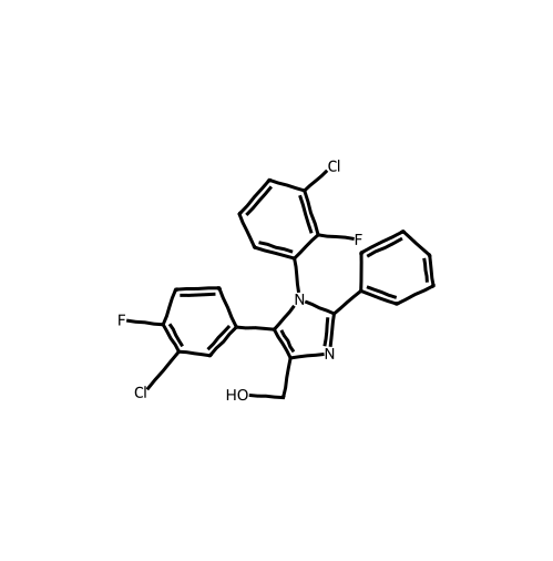 OCc1nc(-c2ccccc2)n(-c2cccc(Cl)c2F)c1-c1ccc(F)c(Cl)c1